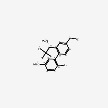 CCC(C)(C)[C@H](OC)c1cc(CBr)ccc1-c1cc(OC)ccc1F